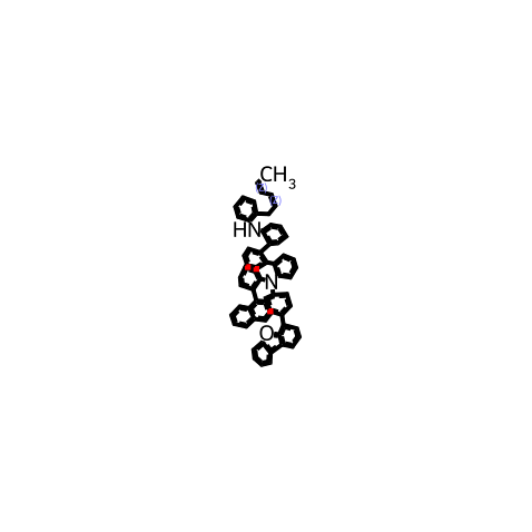 C/C=C\C=C/Cc1ccccc1Nc1ccccc1-c1ccccc1-c1ccccc1N(c1ccc(-c2cccc3c2oc2ccccc23)cc1)c1ccccc1-c1cccc2ccccc12